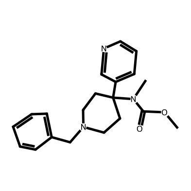 COC(=O)N(C)C1(c2cccnc2)CCN(Cc2ccccc2)CC1